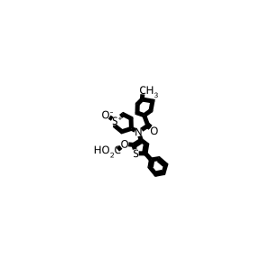 CC1CCC(C(=O)N(c2cc(-c3ccccc3)sc2OC(=O)O)C2CC[S+]([O-])CC2)CC1